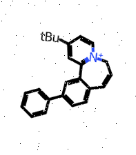 CC(C)(C)c1cc[n+]2c(c1)-c1cc(-c3ccccc3)ccc1C=CC2